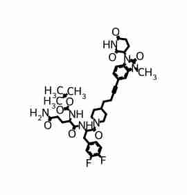 Cn1c(=O)n(C2CCC(=O)NC2=O)c2ccc(C#CCCC3CCN(C(=O)C(Cc4ccc(F)c(F)c4)NC(=O)C(CCC(N)=O)NC(=O)OC(C)(C)C)CC3)cc21